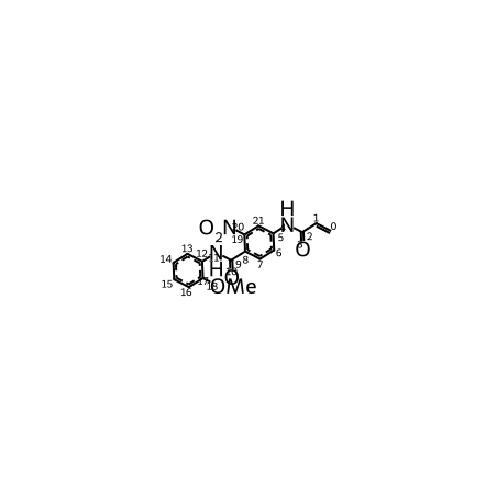 C=CC(=O)Nc1ccc(C(=O)Nc2ccccc2OC)c([N+](=O)[O-])c1